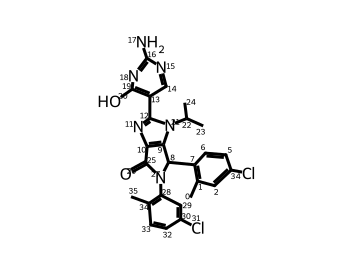 Cc1cc(Cl)ccc1C1c2c(nc(-c3cnc(N)nc3O)n2C(C)C)C(=O)N1c1cc(Cl)ccc1C